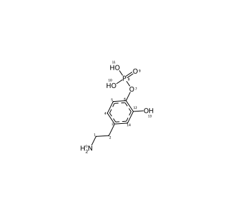 NCCc1ccc(OP(=O)(O)O)c(O)c1